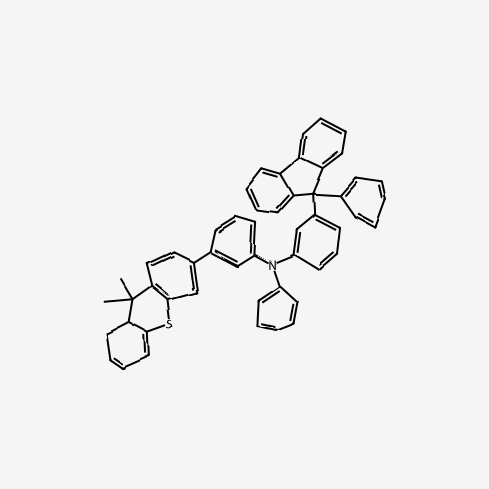 CC1(C)c2ccc(-c3cccc(N(c4ccccc4)c4cccc(C5(c6ccccc6)c6ccccc6-c6ccccc65)c4)c3)cc2SC2=CC=CCC21